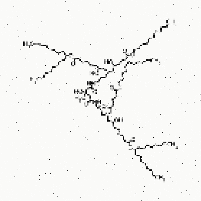 CCCCCCCCCCCOC(=O)CCCC(O)CN(CCCNC(=O)CC(C)(O)CC(=O)NCCCN(CC(O)CCCCCC(=O)OC(CCCCCCCC)CCCCCCCC)CC(O)CCCC(=O)OCCCCCCCCCCC)CC(O)CCCCCC(=O)OC(CCCCCCCC)CCCCCCCC